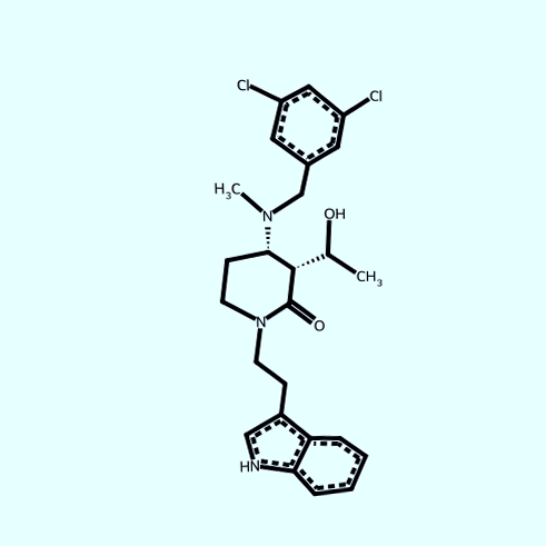 CC(O)[C@@H]1C(=O)N(CCc2c[nH]c3ccccc23)CC[C@@H]1N(C)Cc1cc(Cl)cc(Cl)c1